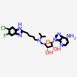 CC(C)N(CCCCc1nc2cc(F)c(Cl)cc2[nH]1)C[C@H]1O[C@@H](n2cnc3c(N)ccnc32)[C@H](O)[C@@H]1O